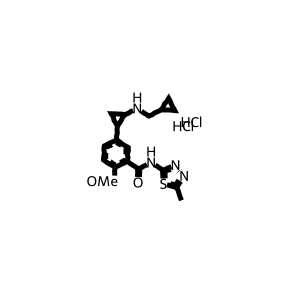 COc1ccc(C2CC2NCC2CC2)cc1C(=O)Nc1nnc(C)s1.Cl.Cl